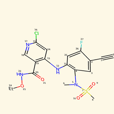 C#Cc1cc(N(C)S(C)(=O)=O)c(Nc2cc(Cl)ncc2C(=O)NOCC)cc1F